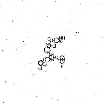 N=S1(=O)CCN(C(=O)c2nn3c(c2Cl)CN(c2nc(OC[C@@]45CCCN4C[C@H](F)C5)nc4c2CO[C@@]2(CCc5c(Cl)cccc52)C4)CCC3)CC1